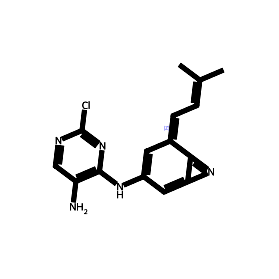 CC(C)=C/C=c1/cc(Nc2nc(Cl)ncc2N)cc2c1=N2